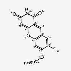 CCCCCCCOc1cc2oc3nc(=O)[nH]c(=O)c-3cc2cc1F